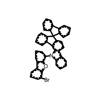 Brc1cccc2c1oc1c(-n3c4ccccc4c4ccc5c(c43)-c3ccccc3C53c4ccccc4-c4ccccc43)cccc12